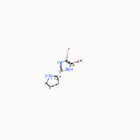 Ic1nc([C@@H]2CCCN2)[nH]c1I